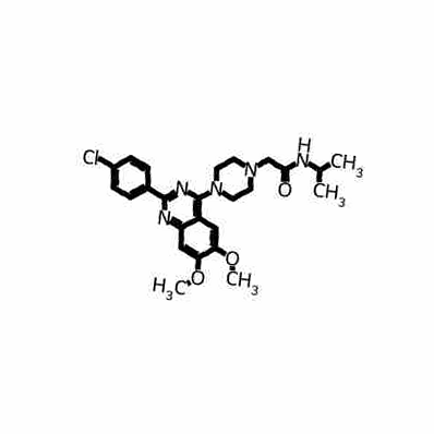 COc1cc2nc(-c3ccc(Cl)cc3)nc(N3CCN(CC(=O)NC(C)C)CC3)c2cc1OC